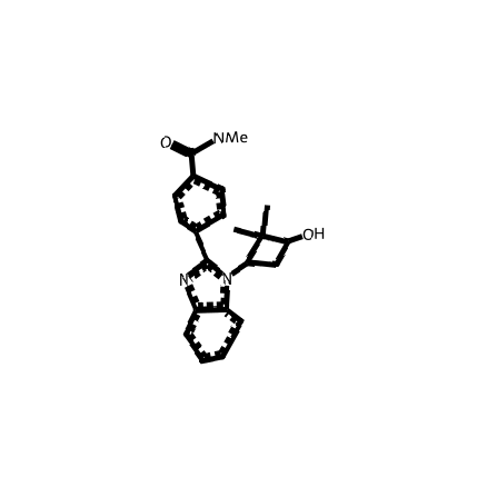 CNC(=O)c1ccc(-c2nc3ccccc3n2C2CC(O)C2(C)C)cc1